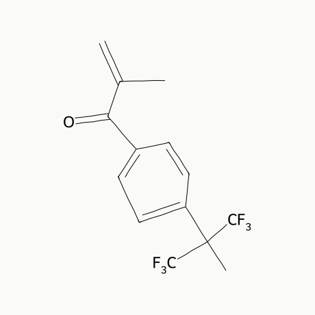 C=C(C)C(=O)c1ccc(C(C)(C(F)(F)F)C(F)(F)F)cc1